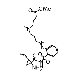 C=C[C@@H]1C[C@@]1(N)C(=O)NS(=O)(=O)c1ccccc1NCCCCN(C)CCCC(=O)OC